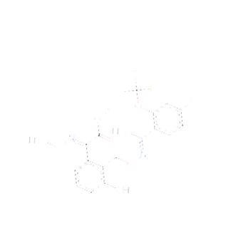 CO/N=C(/C(=O)OC)c1cccc(C)c1CO/N=C(\C)c1ccc(Cl)cc1OC(F)(F)F